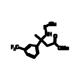 COC(=O)CC(C)(NSC(C)(C)C)c1cccc(C(F)(F)F)c1